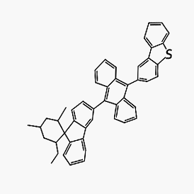 CCC1CC(C)CC(C)C12c1ccccc1-c1cc(-c3c4ccccc4c(-c4ccc5sc6ccccc6c5c4)c4ccccc34)ccc12